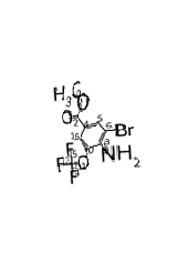 COC(=O)c1cc(Br)c(N)c(OC(F)(F)F)c1